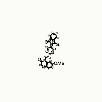 COc1ccc2ncc(=O)n(CC[C@H]3OC[C@H](N4C(=O)c5ccccc5C4=O)CO3)c2c1